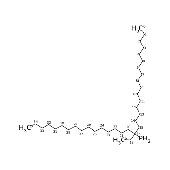 CCCCCCCCCCCCCCCCC(P)(CC)CCCCCCCCCCCCCCCC